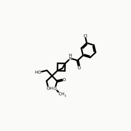 COC(=O)C(CO)(CO)C12CC(NC(=O)c3cccc(Cl)c3)(C1)C2